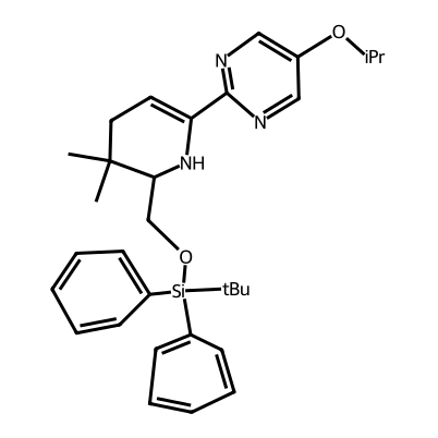 CC(C)Oc1cnc(C2=CCC(C)(C)C(CO[Si](c3ccccc3)(c3ccccc3)C(C)(C)C)N2)nc1